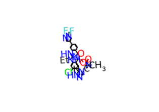 CCNC(=N)N(C(=O)c1ccc(-c2cnn(C(F)F)c2)cc1)[C@H](COC(=O)N(C)C)c1ccc(Cl)c(-c2ncn[nH]2)c1